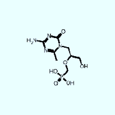 Cc1nc(N)nc(=O)n1C[C@@H](CO)OCP(=O)(O)O